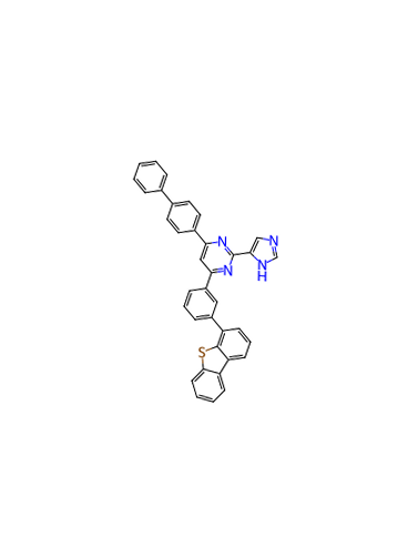 c1ccc(-c2ccc(-c3cc(-c4cccc(-c5cccc6c5sc5ccccc56)c4)nc(-c4cnc[nH]4)n3)cc2)cc1